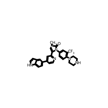 Cn1cc(-c2cc(-c3ccc4[nH]ccc4c3)ccn2)n(-c2ccc(N3CCNCC3)c(C(F)(F)F)c2)c1=O